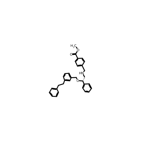 COC(=O)c1ccc(CNC[C@@H](OCc2cccc(CCc3ccccc3)c2)c2ccccc2)cc1